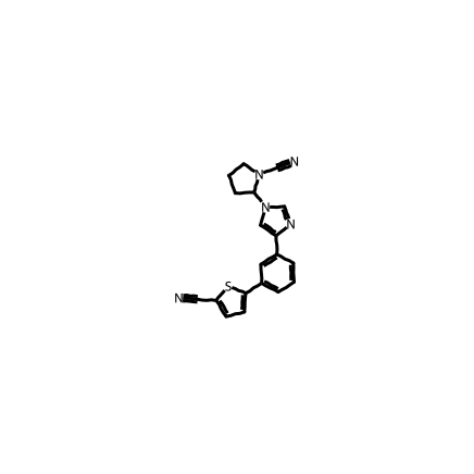 N#Cc1ccc(-c2cccc(-c3cn(C4CCCN4C#N)cn3)c2)s1